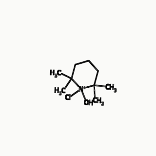 CC1(C)CCCC(C)(C)[N+]1(O)Cl